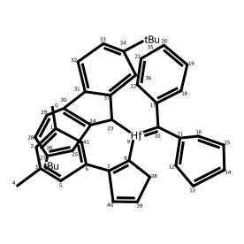 Cc1cc(C)cc(C2=[C]([Hf](=[C](c3ccccc3)c3ccccc3)[CH]3c4cc(C(C)(C)C)ccc4-c4ccc(C(C)(C)C)cc43)CC=C2)c1